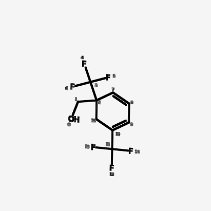 OCC1(C(F)(F)F)C=CC=C(C(F)(F)F)C1